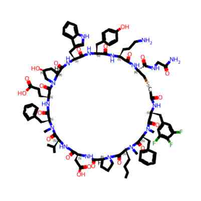 CCCC[C@H]1C(=O)N2CCC[C@@H]2C(=O)N[C@@H](CC(=O)O)C(=O)N[C@@H](C(C)C)C(=O)N(C)[C@@H](Cc2ccccc2)C(=O)N[C@@H](CCC(=O)O)C(=O)N2C[C@@H](O)C[C@@H]2C(=O)N[C@@H](Cc2c[nH]c3ccccc23)C(=O)N[C@@H](Cc2ccc(O)cc2)C(=O)N[C@@H](CCCN)C(=O)N[C@H](C(=O)NCC(N)=O)CSCC(=O)N[C@@H](Cc2cc(F)c(F)c(F)c2)C(=O)N(C)[C@@H](Cc2ccccc2)C(=O)N1C